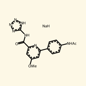 COc1cc(C(=O)Nc2nnn[nH]2)nc(-c2ccc(NC(C)=O)cc2)c1.[NaH]